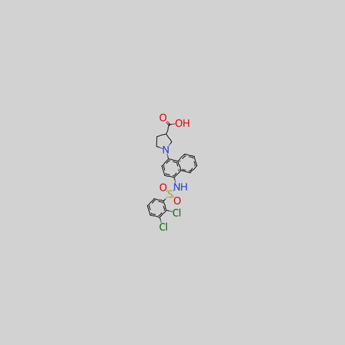 O=C(O)C1CCN(c2ccc(NS(=O)(=O)c3cccc(Cl)c3Cl)c3ccccc23)C1